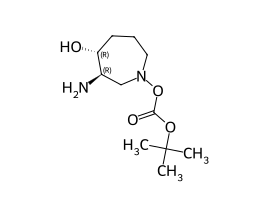 CC(C)(C)OC(=O)ON1CCC[C@@H](O)[C@H](N)C1